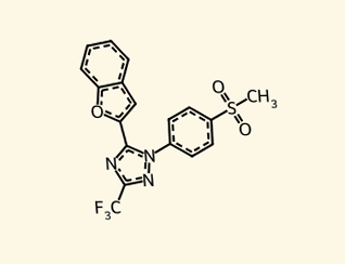 CS(=O)(=O)c1ccc(-n2nc(C(F)(F)F)nc2-c2cc3ccccc3o2)cc1